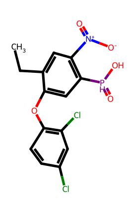 CCc1cc([N+](=O)[O-])c([PH](=O)O)cc1Oc1ccc(Cl)cc1Cl